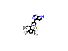 BC1(B)CCC(B)(B)C1[C@@H](CC#N)n1cc(-c2ncnc3[nH]ccc23)cn1